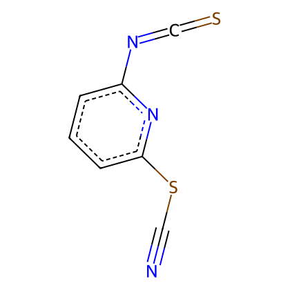 N#CSc1cccc(N=C=S)n1